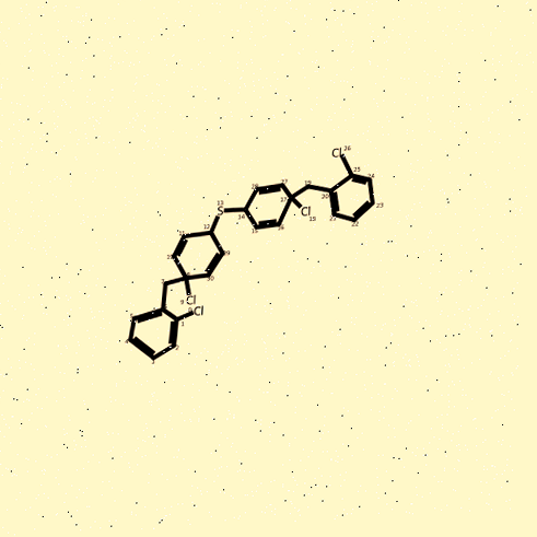 Clc1ccccc1CC1(Cl)C=CC(SC2C=CC(Cl)(Cc3ccccc3Cl)C=C2)C=C1